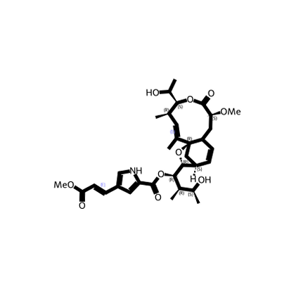 COC(=O)/C=C/c1c[nH]c(C(=O)O[C@H]([C@H](C)[C@H](C)O)[C@@H]2O[C@]34C[C@H]2C=CC3C[C@H](OC)C(=O)O[C@H](C(C)O)[C@H](C)/C=C/4C)c1